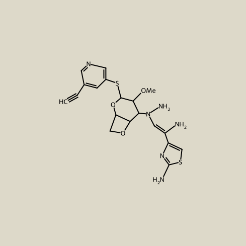 C#Cc1cncc(SC2OC3COC3C(N(N)/C=C(\N)c3csc(N)n3)C2OC)c1